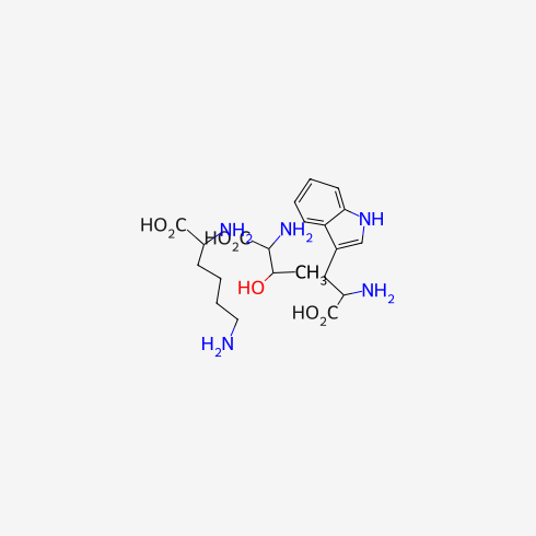 CC(O)C(N)C(=O)O.NC(Cc1c[nH]c2ccccc12)C(=O)O.NCCCCC(N)C(=O)O